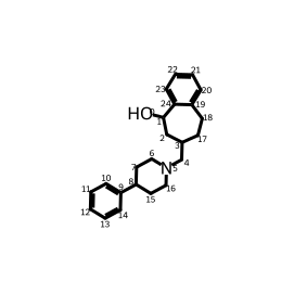 OC1CC(CN2CCC(c3ccccc3)CC2)CCc2ccccc21